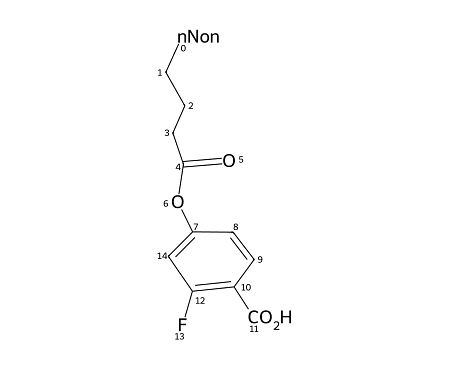 CCCCCCCCCCCCC(=O)Oc1ccc(C(=O)O)c(F)c1